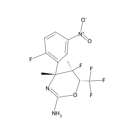 C[C@]1(F)[C@H](C(F)(F)F)OC(N)=N[C@]1(C)c1cc([N+](=O)[O-])ccc1F